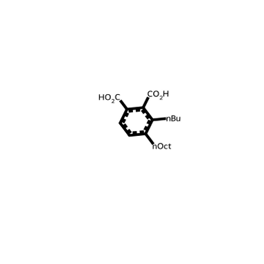 CCCCCCCCc1ccc(C(=O)O)c(C(=O)O)c1CCCC